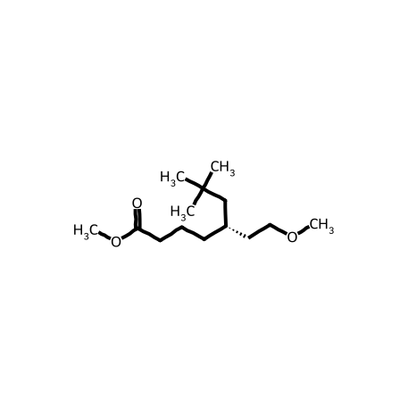 COCC[C@H](CCCC(=O)OC)CC(C)(C)C